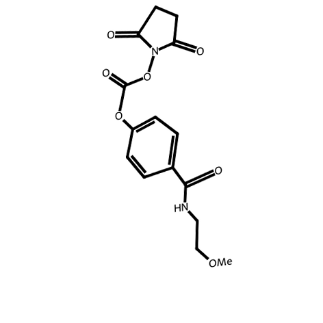 COCCNC(=O)c1ccc(OC(=O)ON2C(=O)CCC2=O)cc1